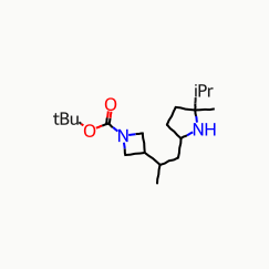 CC(CC1CCC(C)(C(C)C)N1)C1CN(C(=O)OC(C)(C)C)C1